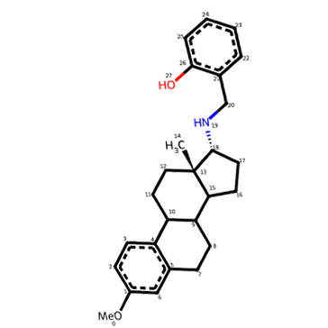 COc1ccc2c(c1)CCC1C2CC[C@@]2(C)C1CC[C@H]2NCc1ccccc1O